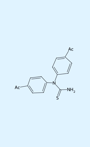 CC(=O)c1ccc(N(C(N)=S)c2ccc(C(C)=O)cc2)cc1